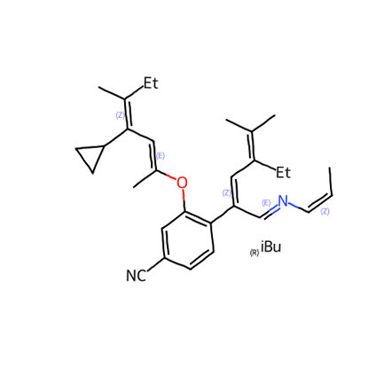 C\C=C/N=C(/C(=C\C(CC)=C(C)C)c1ccc(C#N)cc1O/C(C)=C/C(=C(/C)CC)C1CC1)[C@H](C)CC